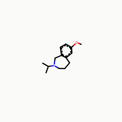 COc1ccc2c(c1)CCCN(C(C)C)C2